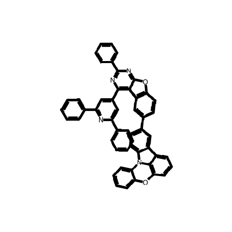 c1ccc(-c2cc(-c3nc(-c4ccccc4)nc4oc5ccc(-c6ccc7c(c6)c6cccc8c6n7-c6ccccc6O8)cc5c34)cc(-c3ccccc3)n2)cc1